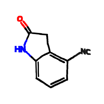 [C-]#[N+]c1cccc2c1CC(=O)N2